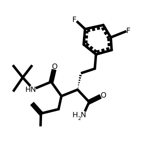 C=C(C)CC(C(=O)NC(C)(C)C)[C@H](CCc1cc(F)cc(F)c1)C(N)=O